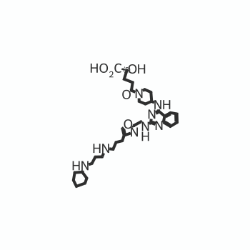 O=C(O)[C@@H](O)CCC(=O)N1CCC(Nc2nc(NCc3nc(CCCNCCCNC4CCCCC4)co3)nc3ccccc23)CC1